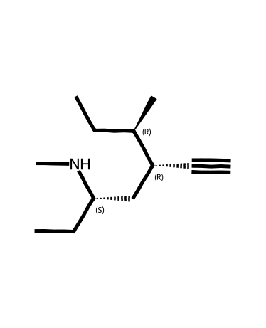 C#C[C@H](C[C@H](CC)NC)[C@H](C)CC